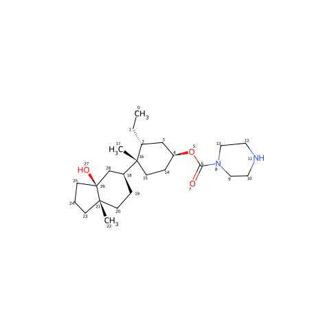 CC[C@@H]1C[C@@H](OC(=O)N2CCNCC2)CC[C@]1(C)[C@H]1CC[C@]2(C)CCC[C@]2(O)C1